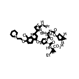 CC[C@@H]1C[C@]1(NC(=O)[C@@H]1C[C@@H](Oc2cc(-c3csc(NC(C)C)n3)nc3c(Cl)c(OCCN4CCCCC4)ccc23)CN1C(=O)[C@@H](NC(=O)OC1C[C@@H]2C[C@@H]2C1)C(C)(C)C)C(=O)O